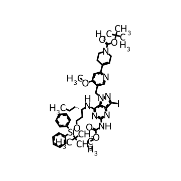 CCC[C@@H](CCO[Si](c1ccccc1)(c1ccccc1)C(C)(C)C)Nc1nc(NC(=O)OC)nc2c(I)nn(Cc3cnc(C4=CCN(C(=O)OC(C)(C)C)CC4)cc3OC)c12